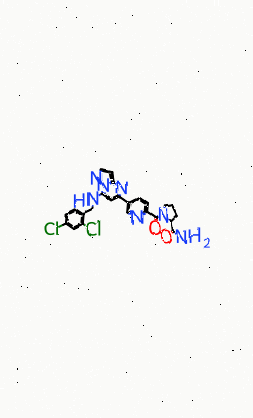 NC(=O)C1CCCN1C(=O)c1ccc(-c2cc(NCc3ccc(Cl)cc3Cl)n3nccc3n2)cn1